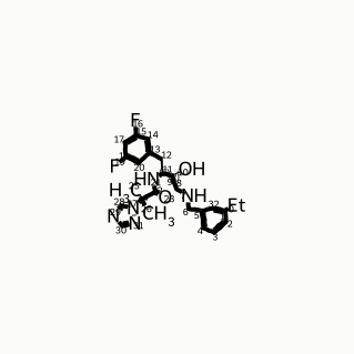 CCc1cccc(CNC[C@@H](O)[C@H](Cc2cc(F)cc(F)c2)NC(=O)C(C)(C)n2cncn2)c1